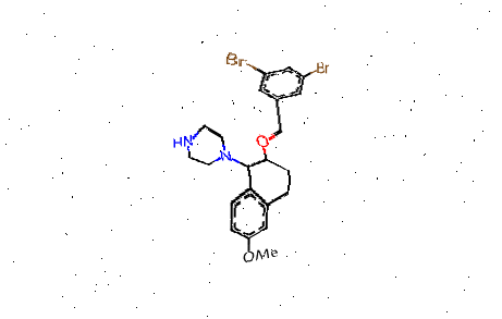 COc1ccc2c(c1)CCC(OCc1cc(Br)cc(Br)c1)C2N1CCNCC1